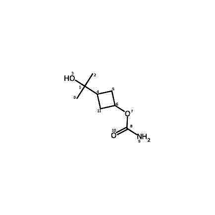 CC(C)(O)C1CC(OC(N)=O)C1